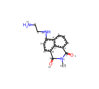 CCN1C(=O)c2cccc3c(NCCN)ccc(c23)C1=O